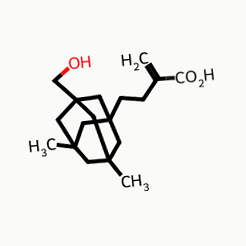 C=C(CCC12CC3(C)CC(C)(CC(CO)(C3)C1)C2)C(=O)O